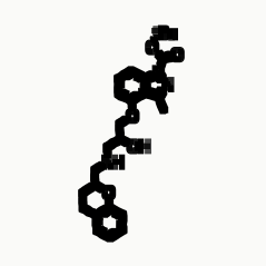 Cc1nn(C(=O)OC(C)(C)C)c2cccc(OCC(O)CNCC3CCc4ccccc4O3)c12